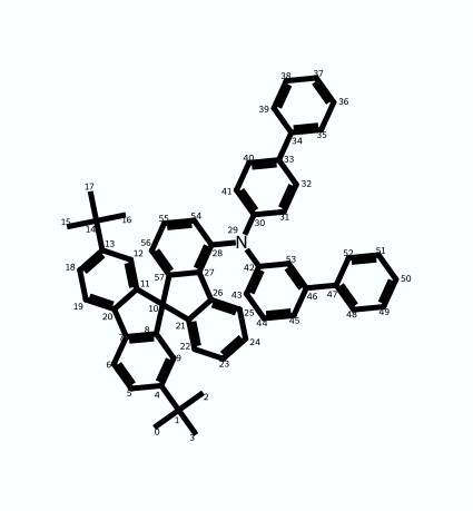 CC(C)(C)c1ccc2c(c1)C1(c3cc(C(C)(C)C)ccc3-2)c2ccccc2-c2c(N(c3ccc(-c4ccccc4)cc3)c3cccc(-c4ccccc4)c3)cccc21